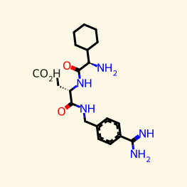 N=C(N)c1ccc(CNC(=O)[C@H](CC(=O)O)NC(=O)[C@H](N)C2CCCCC2)cc1